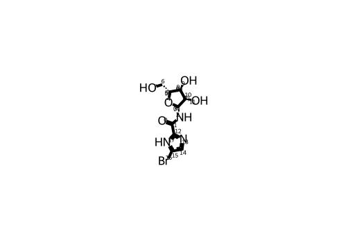 O=C(N[C@@H]1O[C@H](CO)[C@@H](O)[C@H]1O)c1ncc(Br)[nH]1